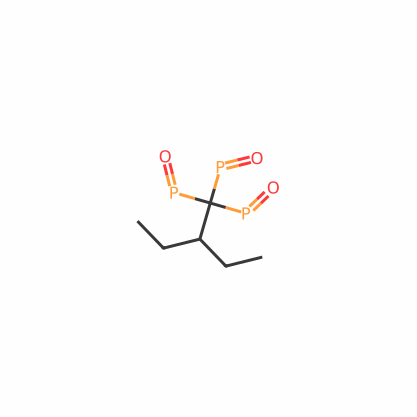 CCC(CC)C(P=O)(P=O)P=O